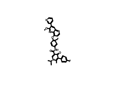 COc1nc2c(Oc3ccc(NC(=O)c4cn(C(C)C)c(C)c(-c5ccc(F)cc5)c4=O)cc3F)ccnc2cc1-c1cccnc1